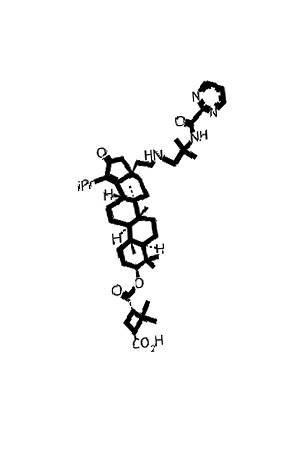 CC(C)C1=C2[C@H]3CC[C@@H]4[C@@]5(C)CC[C@H](OC(=O)[C@H]6C[C@@H](C(=O)O)C6(C)C)C(C)(C)[C@@H]5CC[C@@]4(C)[C@]3(C)CC[C@@]2(CCNCC(C)(C)NC(=O)c2ncccn2)CC1=O